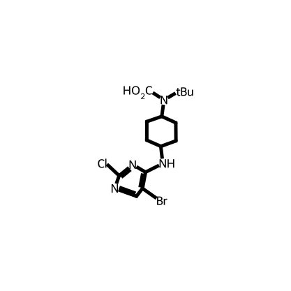 CC(C)(C)N(C(=O)O)C1CCC(Nc2nc(Cl)ncc2Br)CC1